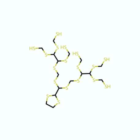 SCSC(SCS)C(SCS)SCSC(SCSC(SCS)C(SCS)SCS)C1SCCS1